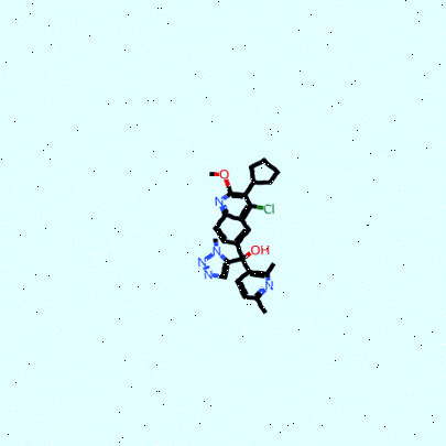 COc1nc2ccc(C(O)(c3ccc(C)nc3C)c3cnnn3C)cc2c(Cl)c1C1CCCC1